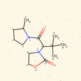 CC1CCCN1C(=O)C(N1CCOC1=O)C(C)(C)C